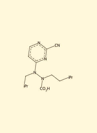 CC(C)CCN(C(=O)O)N(CC(C)C)c1ccnc(C#N)n1